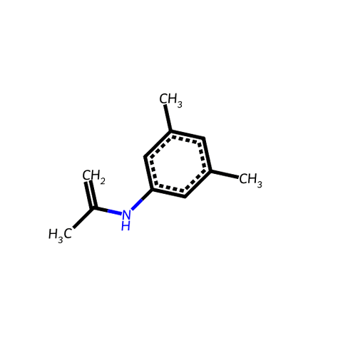 C=C(C)Nc1cc(C)cc(C)c1